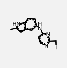 Cc1cc2cc(Nc3ccnc(CI)n3)ccc2[nH]1